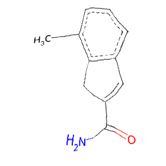 Cc1cccc2c1CC(C(N)=O)=C2